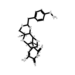 COc1ccc(CC2OC[C@H]3OC4CCOC(C3O2)[C@@H]4n2cc(C)c(=O)[nH]c2=O)cc1